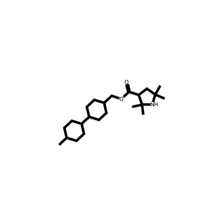 CC1CCC(C2CCC(COC(=O)C3CC(C)(C)NC3(C)C)CC2)CC1